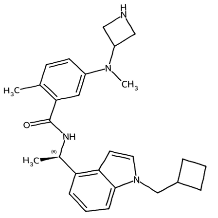 Cc1ccc(N(C)C2CNC2)cc1C(=O)N[C@H](C)c1cccc2c1ccn2CC1CCC1